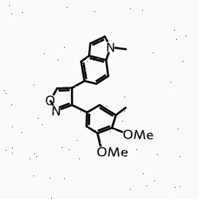 COc1cc(-c2nocc2-c2ccc3c(ccn3C)c2)cc(C)c1OC